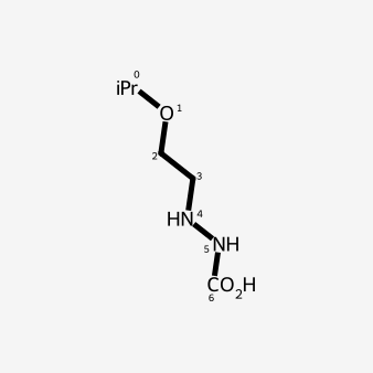 CC(C)OCCNNC(=O)O